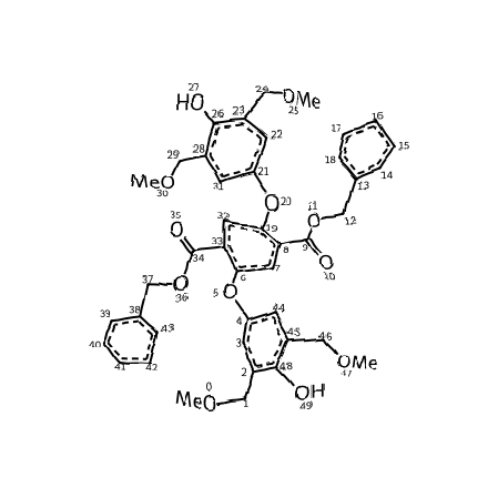 COCc1cc(Oc2cc(C(=O)OCc3ccccc3)c(Oc3cc(COC)c(O)c(COC)c3)cc2C(=O)OCc2ccccc2)cc(COC)c1O